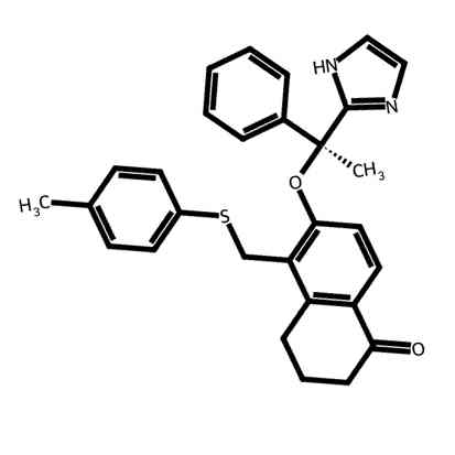 Cc1ccc(SCc2c(O[C@@](C)(c3ccccc3)c3ncc[nH]3)ccc3c2CCCC3=O)cc1